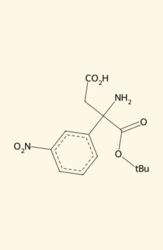 CC(C)(C)OC(=O)C(N)(CC(=O)O)c1cccc([N+](=O)[O-])c1